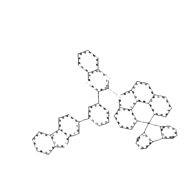 c1cc(-c2ccc3c(c2)oc2ccccc23)cc(-c2nc3ccccc3nc2-n2c3cccc4c3c3c5c(cccc5ccc32)C42c3ccccc3-c3ccccc32)c1